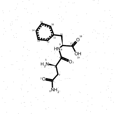 NC(=O)C[C@@H](N)C(=O)N[C@@H](Cc1ccccc1)C(=O)O